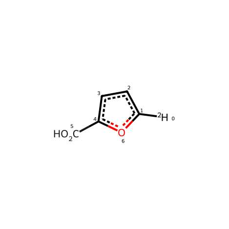 [2H]c1ccc(C(=O)O)o1